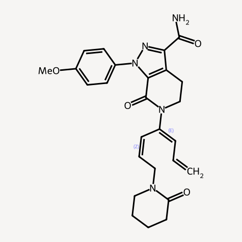 C=C/C=C(\C=C/CN1CCCCC1=O)N1CCc2c(C(N)=O)nn(-c3ccc(OC)cc3)c2C1=O